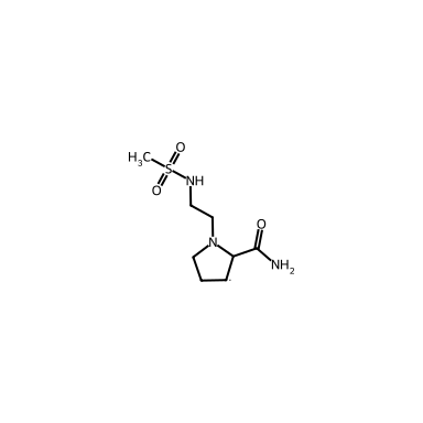 CS(=O)(=O)NCCN1CC[CH]C1C(N)=O